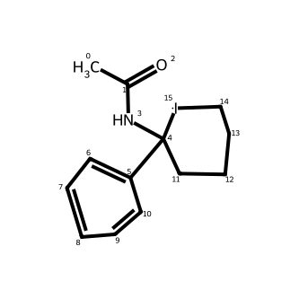 CC(=O)NC1(c2ccccc2)CCCC[I]1